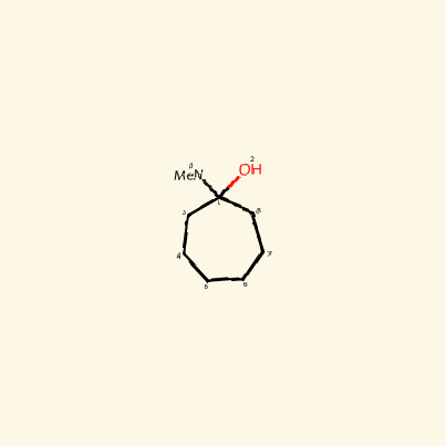 CNC1(O)CCCCCC1